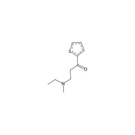 CCN(C)CCC(=O)c1cccs1